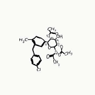 CC(=O)OC1O[C@@H](c2ccc(C)c(Cc3ccc(Cl)cc3)c2)[C@H](OC(C)=O)[C@@H](O)[C@@H]1OC(C)=O